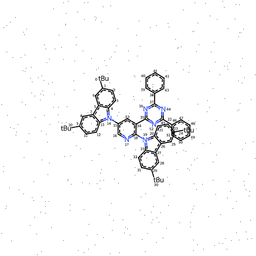 CC(C)(C)c1ccc2c(c1)c1cc(C(C)(C)C)ccc1n2-c1cnc(-n2c3ccc(C(C)(C)C)cc3c3cc(C(C)(C)C)ccc32)c(-c2nc(-c3ccccc3)nc(-c3ccccc3)n2)c1